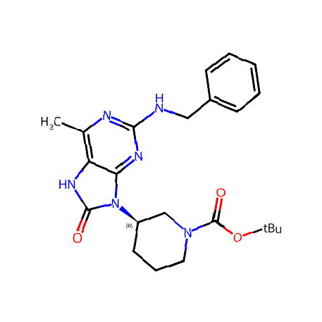 Cc1nc(NCc2ccccc2)nc2c1[nH]c(=O)n2[C@@H]1CCCN(C(=O)OC(C)(C)C)C1